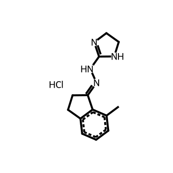 Cc1cccc2c1C(=NNC1=NCCN1)CC2.Cl